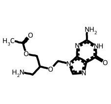 CC(=O)OCC(CN)OCn1cnc2c(=O)[nH]c(N)nc21